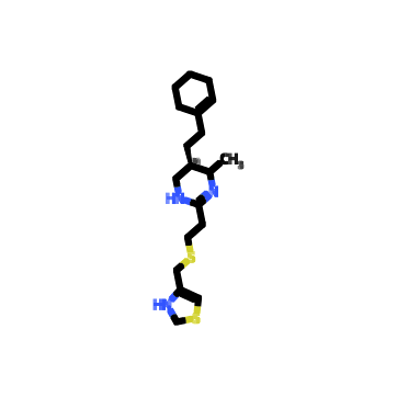 CC1N=C(CCSCC2=CSCN2)NC[C@H]1CCC1=CCCCC1